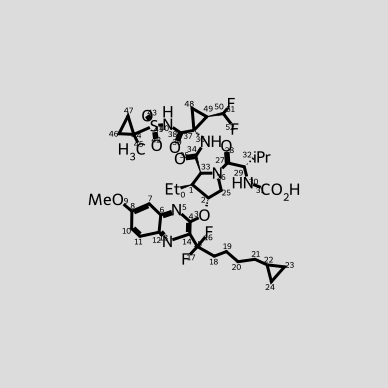 CC[C@@H]1[C@@H](Oc2nc3cc(OC)ccc3nc2C(F)(F)CCCCC2CC2)CN(C(=O)[C@@H](NC(=O)O)C(C)C)[C@@H]1C(=O)N[C@]1(C(=O)NS(=O)(=O)C2(C)CC2)C[C@H]1C(F)F